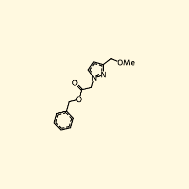 COCc1ccn(CC(=O)OCc2ccccc2)n1